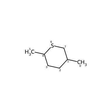 CC1CCC(C)SC1